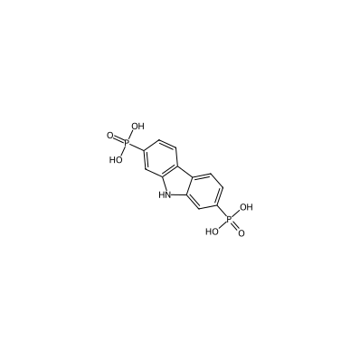 O=P(O)(O)c1ccc2c(c1)[nH]c1cc(P(=O)(O)O)ccc12